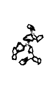 c1ccc(-c2cc3ccccc3cc2-c2ccc(N(c3ccc4ccc5ccccc5c4c3)c3ccc4c(c3)c3ccccc3n4-c3ccccc3)cc2)cc1